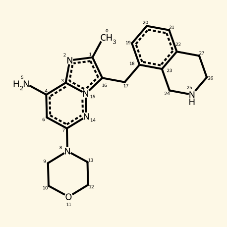 Cc1nc2c(N)cc(N3CCOCC3)nn2c1Cc1cccc2c1CNCC2